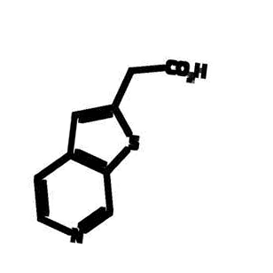 O=C(O)Cc1cc2ccncc2s1